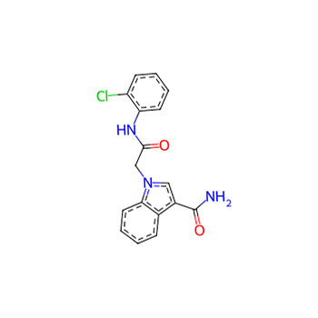 NC(=O)c1cn(CC(=O)Nc2ccccc2Cl)c2ccccc12